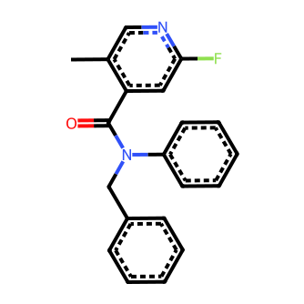 Cc1cnc(F)cc1C(=O)N(Cc1ccccc1)c1ccccc1